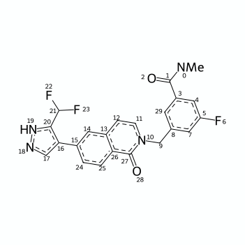 CNC(=O)c1cc(F)cc(Cn2ccc3cc(-c4cn[nH]c4C(F)F)ccc3c2=O)c1